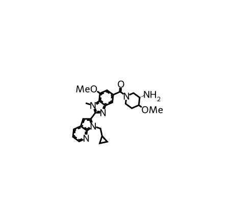 COc1cc(C(=O)N2CCC(OC)[C@@H](N)C2)cc2nc(-c3cc4cccnc4n3CC3CC3)n(C)c12